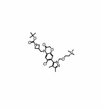 Cc1nn(COCC[Si](C)(C)C)c(-c2cc3c(cc2Cl)N(CC2CN(C(=O)OC(C)(C)C)C2)C(=O)CO3)c1C